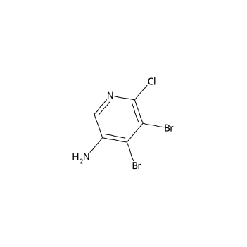 Nc1cnc(Cl)c(Br)c1Br